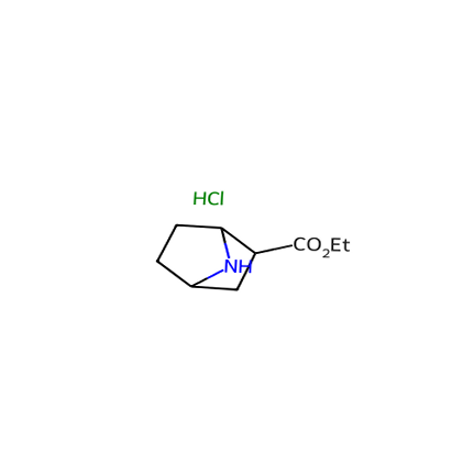 CCOC(=O)C1CC2CCC1N2.Cl